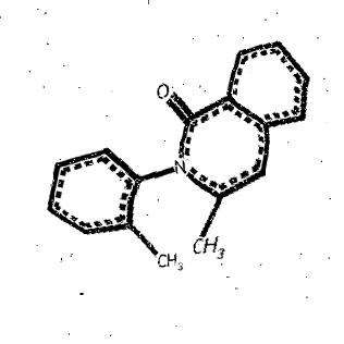 Cc1ccccc1-n1c(C)cc2ccccc2c1=O